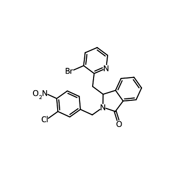 O=C1c2ccccc2C(Cc2ncccc2Br)N1Cc1ccc([N+](=O)[O-])c(Cl)c1